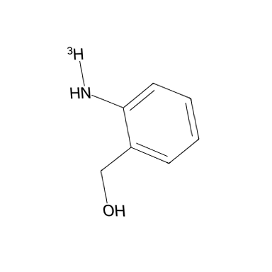 [3H]Nc1ccccc1CO